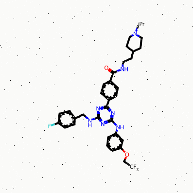 CC(C)N1CCC(CCNC(=O)c2ccc(-c3nc(NCc4ccc(F)cc4)nc(Nc4cccc(OCC(F)(F)F)c4)n3)cc2)CC1